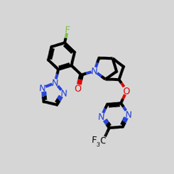 O=C(c1cc(F)ccc1-n1nccn1)N1CC2CC(Oc3cnc(C(F)(F)F)cn3)C1C2